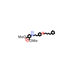 COC(=O)c1ccc(NCCCc2ccc(OCCCCCc3ccccc3)cc2)cc1C(=O)OC